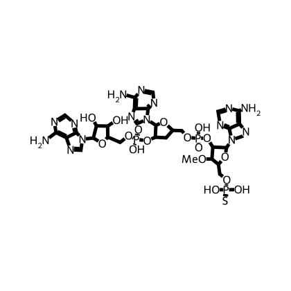 COC1C(COP(O)(O)=S)OC(n2cnc3c(N)ncnc32)C1OP(=O)(O)OCC1CC(OP(=O)(O)OCC2OC(n3cnc4c(N)ncnc43)C(O)C2O)C(n2cnc3c(N)ncnc32)O1